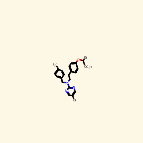 CCc1cnc(N(CCc2ccc(OC(CC)C(=O)O)cc2)Cc2ccc(C(F)(F)F)cc2)nc1